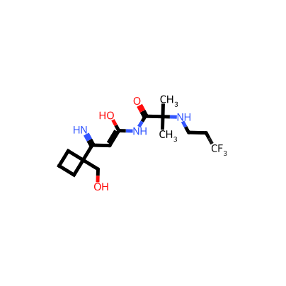 CC(C)(NCCC(F)(F)F)C(=O)N/C(O)=C/C(=N)C1(CO)CCC1